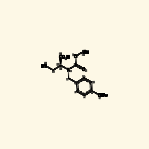 COc1ccc(CN(C(=O)OC(C)(C)C)[C@@H](CS)C(=O)O)cc1